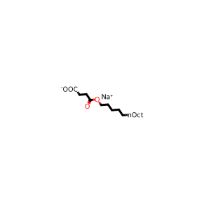 CCCCCCCCCCCCCOC(=O)CCC(=O)[O-].[Na+]